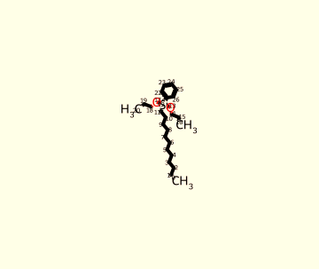 CCCCCCCCCCCC[Si](OCCC)(OCCC)c1ccccc1